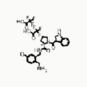 NCc1ccc(Cl)cc1CNC(=O)[C@@H]1CCCN1C(=O)C1CNc2ccccc21.O=C(O)C(F)(F)F.O=C(O)C(F)(F)F